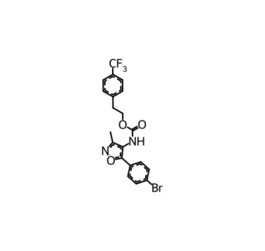 Cc1noc(-c2ccc(Br)cc2)c1NC(=O)OCCc1ccc(C(F)(F)F)cc1